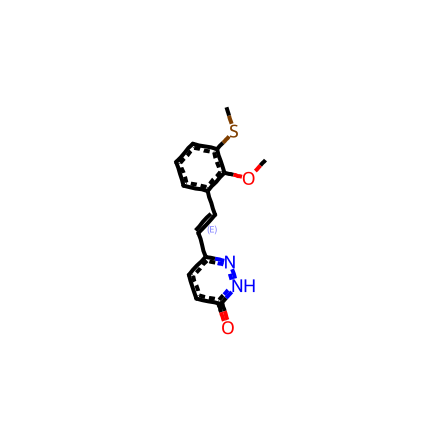 COc1c(/C=C/c2ccc(=O)[nH]n2)cccc1SC